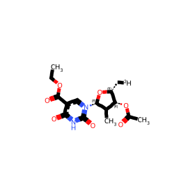 [2H]C[C@H]1O[C@@H](n2cc(C(=O)OCC)c(=O)[nH]c2=O)C(C)[C@H]1OC(C)=O